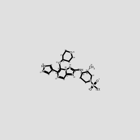 CCS(=O)(=O)N1CC[C@H](Nc2nc3cnc(-c4cn[nH]c4)c(OC4CCOCC4)n3n2)[C@H](C)C1